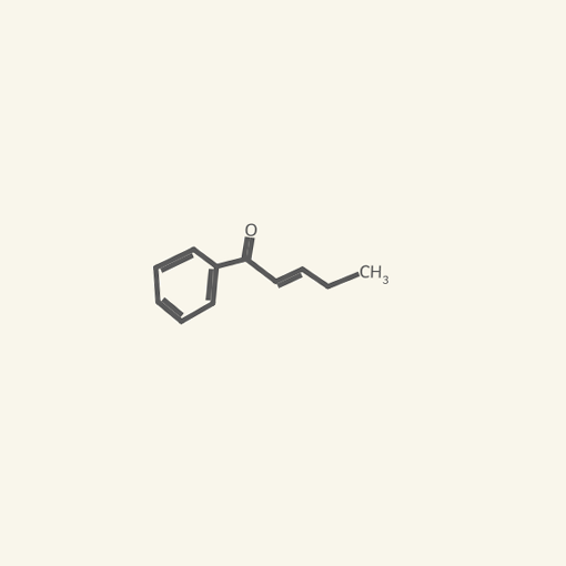 CCC=CC(=O)c1ccccc1